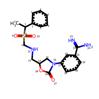 CC(c1ccccc1)S(=O)(=O)CNCC1CN(c2cccc(C(=N)N)c2)C(=O)O1